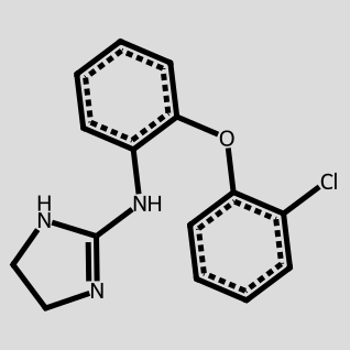 Clc1ccccc1Oc1ccccc1NC1=NCCN1